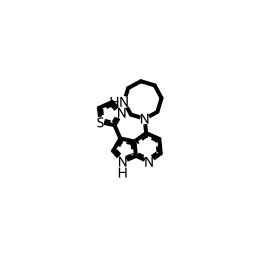 c1csc(-c2c[nH]c3nccc(N4CCCCCNC4)c23)n1